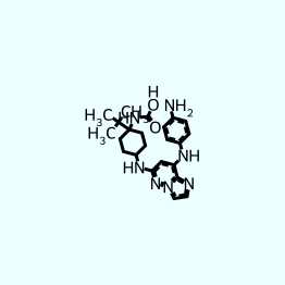 CC(C)(C)C1(NC(=O)O)CCC(Nc2cc(Nc3ccc(N)cc3)c3nccn3n2)CC1